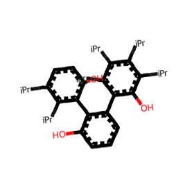 CC(C)c1ccc(O)c(-c2c(O)cccc2-c2c(O)c(C(C)C)c(C(C)C)c(C(C)C)c2C(C)C)c1C(C)C